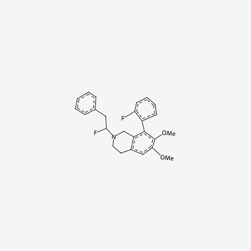 COc1cc2c(c(-c3ccccc3F)c1OC)CN(C(F)Cc1ccccc1)CC2